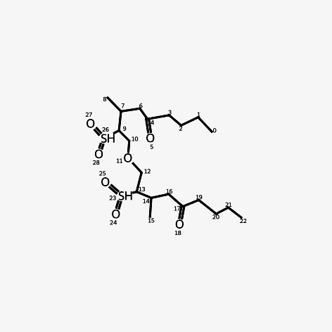 CCCCC(=O)CC(C)C(COCC(C(C)CC(=O)CCCC)[SH](=O)=O)[SH](=O)=O